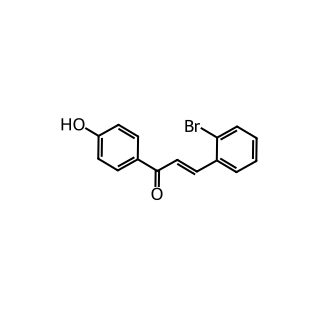 O=C(C=Cc1ccccc1Br)c1ccc(O)cc1